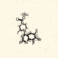 C[C@H]1CN(C(=O)OC(C)(C)C)CCN1c1nc(F)nc2c(F)c(Br)c(F)cc12